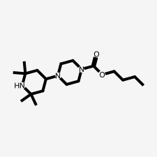 CCCCOC(=O)N1CCN(C2CC(C)(C)NC(C)(C)C2)CC1